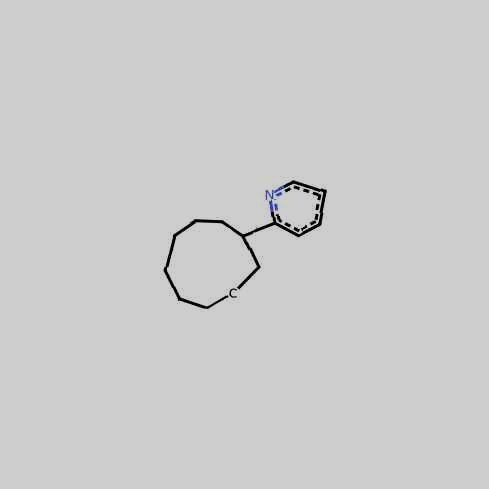 c1ccc(C2CCCCCCCC2)nc1